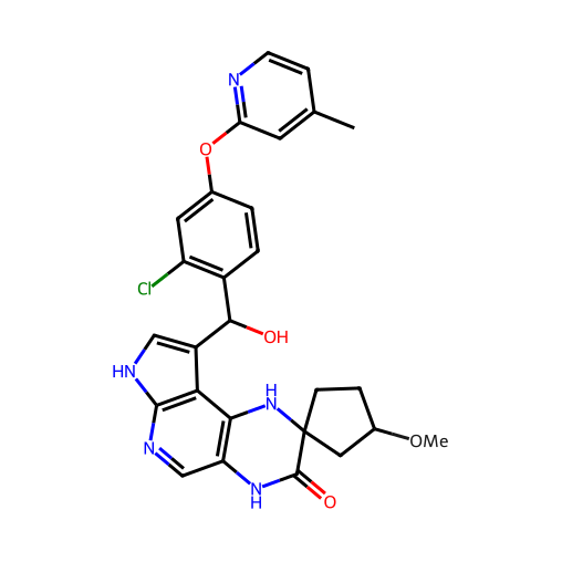 COC1CCC2(C1)Nc1c(cnc3[nH]cc(C(O)c4ccc(Oc5cc(C)ccn5)cc4Cl)c13)NC2=O